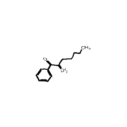 C=C(CCCCC)C(=O)c1ccccc1